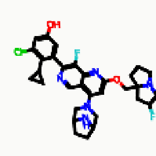 Oc1cc(Cl)c(C2CC2)c(-c2ncc3c(N4CC5CCC(C4)N5)cc(OCC45CCCN4CC(F)C5)nc3c2F)c1